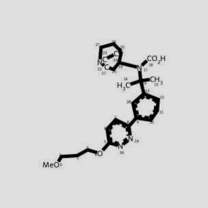 COCCCOc1ccc(-c2cccc(C(C)(C)N(C(=O)O)C3CCN4CCC3CC4)c2)nn1